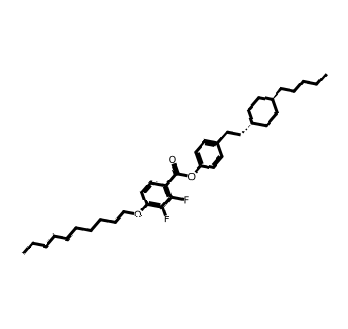 CCCCCCCCCCOc1ccc(C(=O)Oc2ccc(CC[C@H]3CC[C@H](CCCCC)CC3)cc2)c(F)c1F